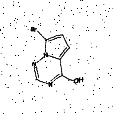 Oc1ncnn2c(Br)ccc12